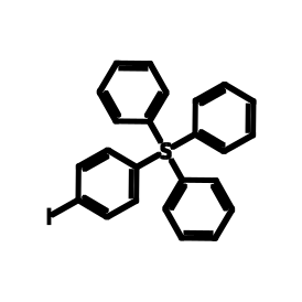 Ic1ccc(S(c2ccccc2)(c2ccccc2)c2ccccc2)cc1